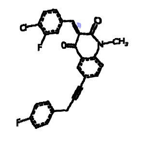 CN1C(=O)/C(=C/c2ccc(Cl)c(F)c2)C(=O)c2cc(C#CCc3ccc(F)cc3)ccc21